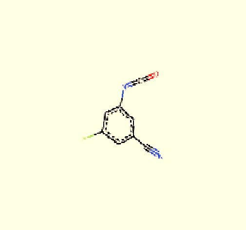 N#Cc1cc(F)cc(N=C=O)c1